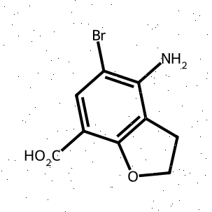 Nc1c(Br)cc(C(=O)O)c2c1CCO2